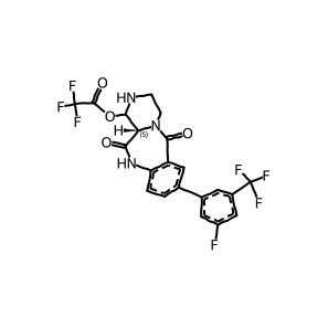 O=C1Nc2ccc(-c3cc(F)cc(C(F)(F)F)c3)cc2C(=O)N2CCNC(OC(=O)C(F)(F)F)[C@@H]12